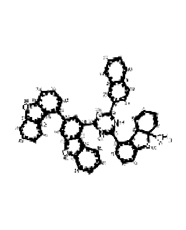 CC12C=CC=CC1c1c(cccc1-c1nc(-c3ccc4ccccc4c3)nc(-c3cc(-c4cccc5oc6ccccc6c45)cc4oc5ccccc5c34)n1)S2